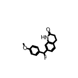 COc1ccc(C(F)c2ccc3c(c2)NC(=O)CC3)cc1